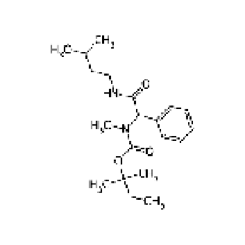 CCC(C)(C)OC(=O)N(C)C(C(=O)NCCC(C)C)c1ccccc1